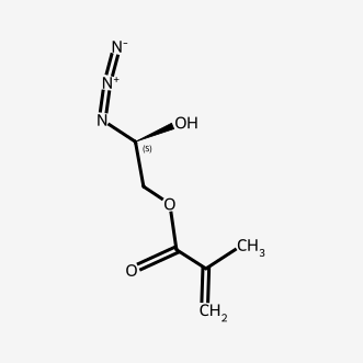 C=C(C)C(=O)OC[C@H](O)N=[N+]=[N-]